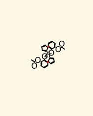 CC(=O)Oc1ccccc1[O][Zr]([O]c1ccccc1OC(C)=O)([C]1=CC=CC1)[C]1=CC=CC1